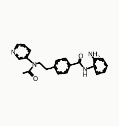 CC(=O)N(CCc1ccc(C(=O)Nc2ccccc2N)cc1)c1cccnc1